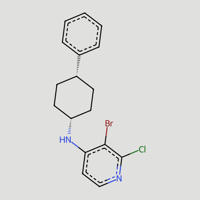 Clc1nccc(N[C@H]2CC[C@@H](c3ccccc3)CC2)c1Br